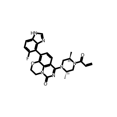 C=CC(=O)N1C[C@H](C)N(c2nc(=O)n3c4c(c(-c5c(F)ccc6[nH]cnc56)ccc24)OCC3)C[C@H]1C